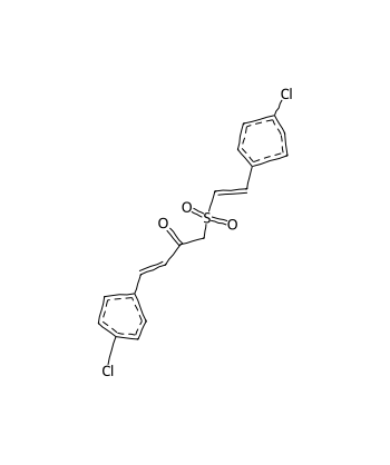 O=C(/C=C/c1ccc(Cl)cc1)CS(=O)(=O)/C=C/c1ccc(Cl)cc1